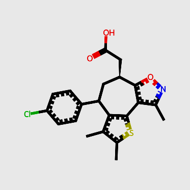 Cc1noc2c1-c1sc(C)c(C)c1C(c1ccc(Cl)cc1)C[C@H]2CC(=O)O